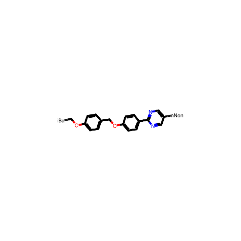 CCCCCCCCCc1cnc(-c2ccc(OCc3ccc(OCC(C)CC)cc3)cc2)nc1